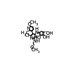 COCCNc1nc(Cl)c(-c2ccc(OC)nc2C)c(N[C@@H]2C[C@H](CO)[C@@H](O)[C@H]2O)n1